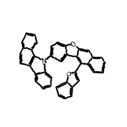 c1ccc2oc(-c3c4ccccc4cc4oc5ccc(-n6c7ccccc7c7ccc8ccccc8c76)cc5c34)cc2c1